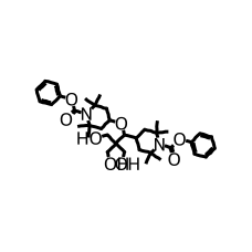 CC1(C)CC(OC(C2CC(C)(C)N(C(=O)Oc3ccccc3)C(C)(C)C2)C(CO)(CO)CO)CC(C)(C)N1C(=O)Oc1ccccc1